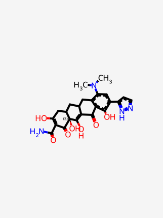 CN(C)c1cc(-c2ccn[nH]2)c(O)c2c1CC1CC3CC(O)=C(C(N)=O)C(=O)[C@@]3(O)C(O)=C1C2=O